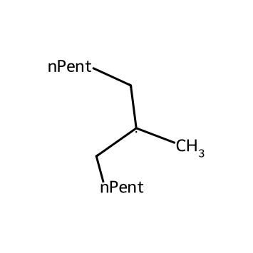 CCCCCC[C](C)CCCCCC